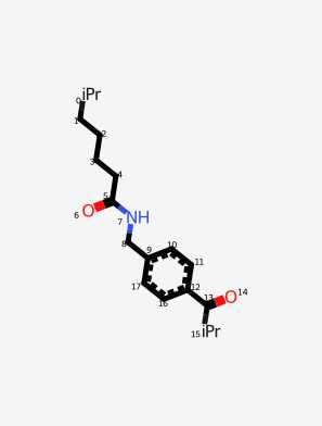 CC(C)CCCCC(=O)NCc1ccc(C(=O)C(C)C)cc1